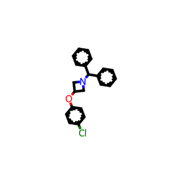 Clc1ccc(OC2CN(C(c3ccccc3)c3ccccc3)C2)cc1